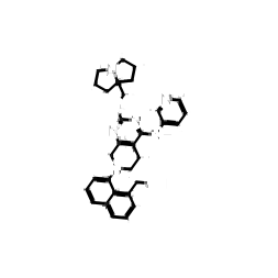 CCc1cccc2cccc(N3CCc4c(nc(OCC56CCCN5CCC6)nc4Nc4cccnc4)C3)c12